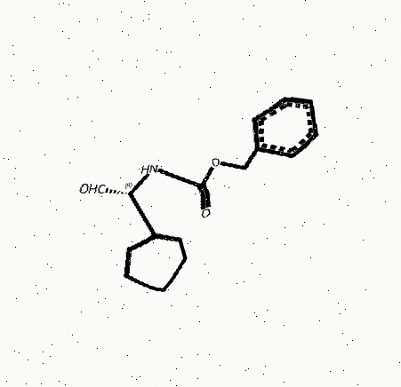 O=C[C@H](NC(=O)OCc1ccccc1)C1CCCCC1